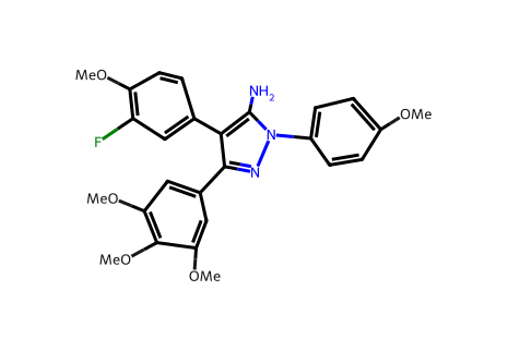 COc1ccc(-n2nc(-c3cc(OC)c(OC)c(OC)c3)c(-c3ccc(OC)c(F)c3)c2N)cc1